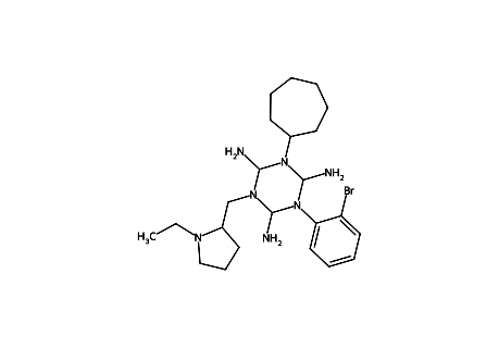 CCN1CCCC1CN1C(N)N(c2ccccc2Br)C(N)N(C2CCCCCC2)C1N